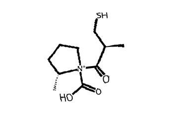 C[C@H](CS)C(=O)[N+]1(C(=O)O)CCC[C@H]1C